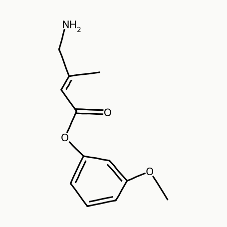 COc1cccc(OC(=O)/C=C(\C)CN)c1